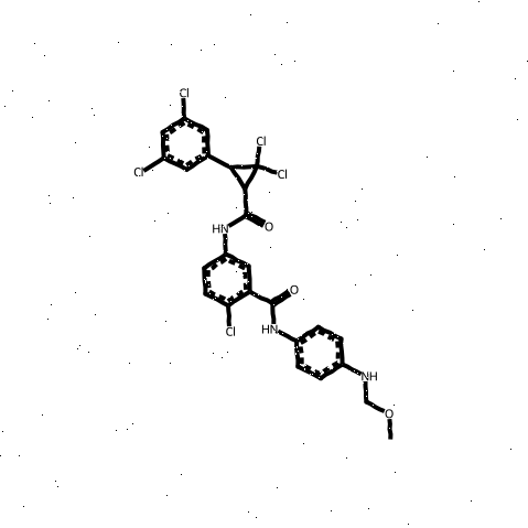 COCNc1ccc(NC(=O)c2cc(NC(=O)C3C(c4cc(Cl)cc(Cl)c4)C3(Cl)Cl)ccc2Cl)cc1